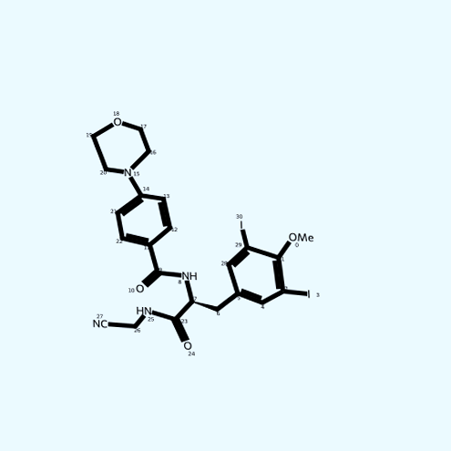 COc1c(I)cc(C[C@H](NC(=O)c2ccc(N3CCOCC3)cc2)C(=O)NCC#N)cc1I